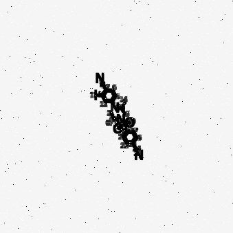 C[C@@H]1CN(c2ccc(C#N)c(I)c2)[C@@H](C)CN1S(=O)(=O)c1ccc(C#N)cc1